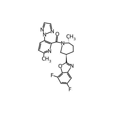 Cc1ccc(-n2nccn2)c(C(=O)N2C[C@H](c3nc4cc(F)cc(F)c4o3)CC[C@H]2C)n1